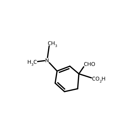 CN(C)C1=CC(C=O)(C(=O)O)CC=C1